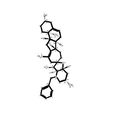 CC1=C2C[C@H]3[C@@H](CC=C4C[C@@H](O)CC[C@@]43C)[C@@H]2CC[C@@]2(C1)O[C@@H]1C[C@H](C)CN(Cc3ccccc3)[C@H]1[C@H]2C